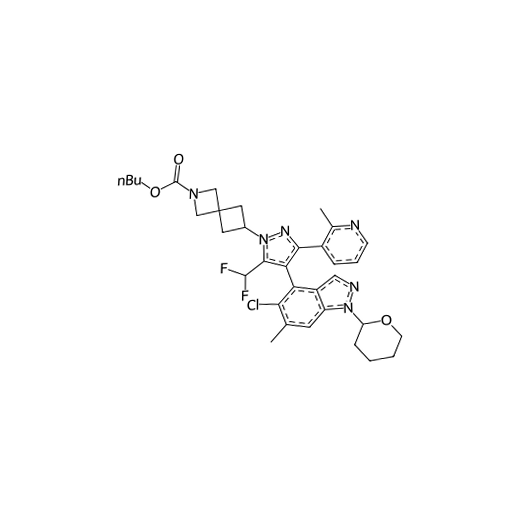 CCCCOC(=O)N1CC2(CC(n3nc(-c4cccnc4C)c(-c4c(Cl)c(C)cc5c4cnn5C4CCCCO4)c3C(F)F)C2)C1